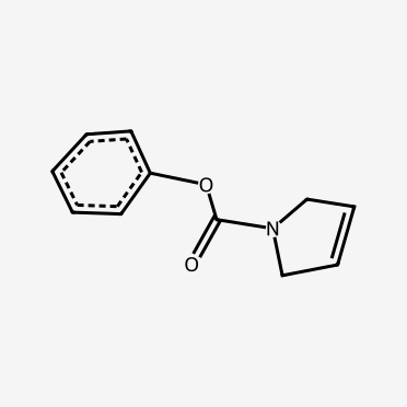 O=C(Oc1ccccc1)N1CC=CC1